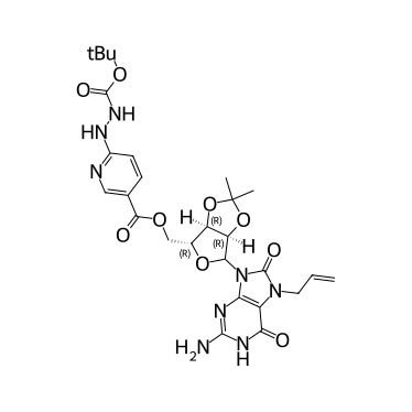 C=CCn1c(=O)n(C2O[C@H](COC(=O)c3ccc(NNC(=O)OC(C)(C)C)nc3)[C@H]3OC(C)(C)O[C@@H]23)c2nc(N)[nH]c(=O)c21